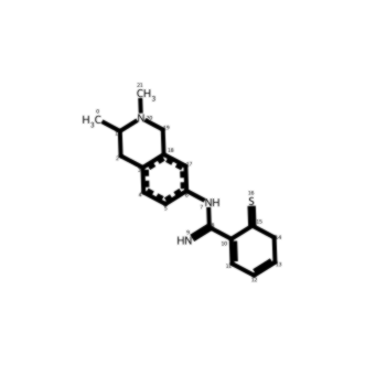 CC1Cc2ccc(NC(=N)C3=CC=CCC3=S)cc2CN1C